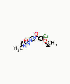 Cc1ccc2oc(N3CCN(C(=O)c4ccc(OCC5(C)CC5)c(Cl)c4)CC3)nc2n1